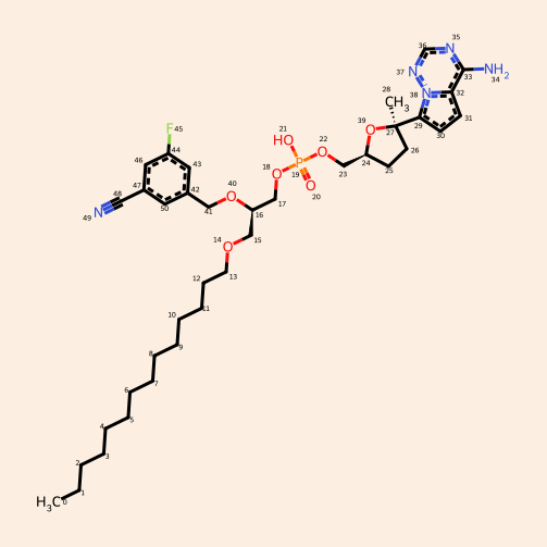 CCCCCCCCCCCCCCOC[C@H](COP(=O)(O)OC[C@@H]1CC[C@](C)(c2ccc3c(N)ncnn23)O1)OCc1cc(F)cc(C#N)c1